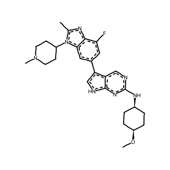 CO[C@H]1CC[C@@H](Nc2ncc3c(-c4cc(F)c5nc(C)n(C6CCN(C)CC6)c5c4)c[nH]c3n2)CC1